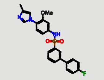 COc1cc(NS(=O)(=O)c2cccc(-c3ccc(F)cc3)c2)ccc1-n1cnc(C)c1